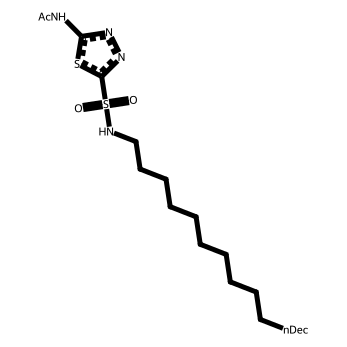 CCCCCCCCCCCCCCCCCCCCNS(=O)(=O)c1nnc(NC(C)=O)s1